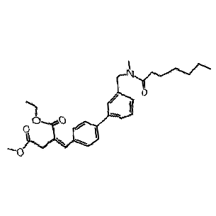 CCCCCCC(=O)N(C)Cc1cccc(-c2ccc(C=C(CC(=O)OC)C(=O)OCC)cc2)c1